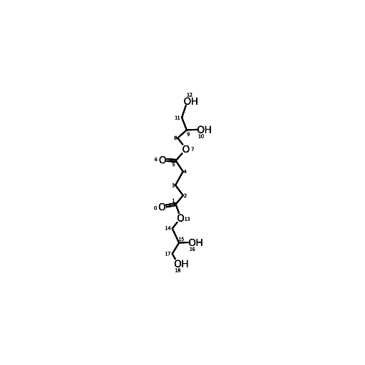 O=C(CCCC(=O)OCC(O)CO)OCC(O)CO